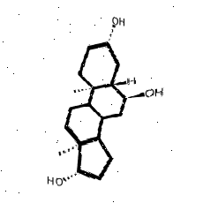 C[C@]12CCC3C(C[C@H](O)[C@H]4C[C@@H](O)CC[C@]34C)C1CC[C@@H]2O